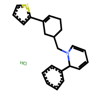 C1=CC(c2ccccc2)N(CC2CCC=C(c3cccs3)C2)C=C1.Cl